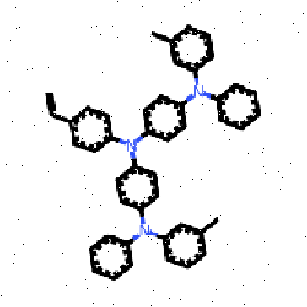 C=Cc1ccc(N(c2ccc(N(c3ccccc3)c3cccc(C)c3)cc2)c2ccc(N(c3ccccc3)c3cccc(C)c3)cc2)cc1